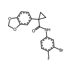 O=C(Nc1ccc(F)c(Br)c1)C1(c2ccc3c(c2)OCO3)CC1